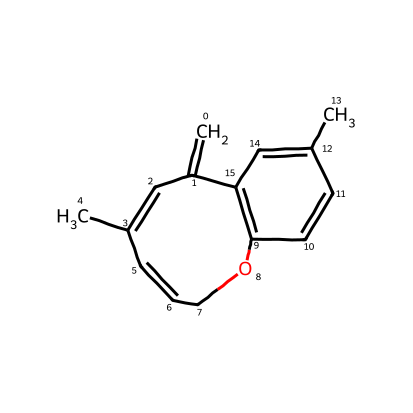 C=C1/C=C(C)\C=C/COc2ccc(C)cc21